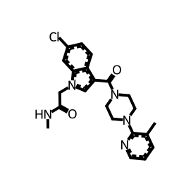 CNC(=O)Cn1cc(C(=O)N2CCN(c3ncccc3C)CC2)c2ccc(Cl)cc21